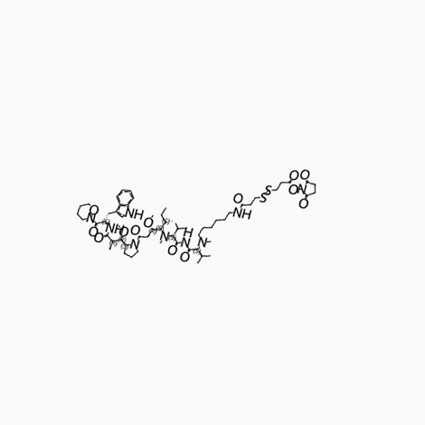 CC[C@H](C)[C@@H]([C@@H](CC(=O)N1CCC[C@H]1[C@H](OC)[C@@H](C)C(=O)N[C@@H](Cc1c[nH]c2ccccc12)C(=O)N1CCCCO1)OC)N(C)[C@H](C(=O)NC(=O)[C@H](C(C)C)N(C)CCCCCCNC(=O)CCSSCCC(=O)ON1C(=O)CCC1=O)C(C)C